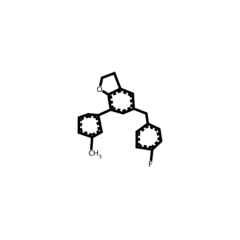 Cc1cccc(-c2cc(Cc3ccc(F)cc3)cc3c2OCC3)c1